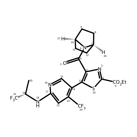 CCOC(=O)c1nc(C(=O)N2[C@H]3CC[C@@H]2CC3)c(-c2cnc(N[C@@H](C)C(F)(F)F)cc2C(F)(F)F)s1